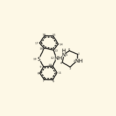 C1CNCCN1.c1ccc2c(c1)Nc1ccccc1S2